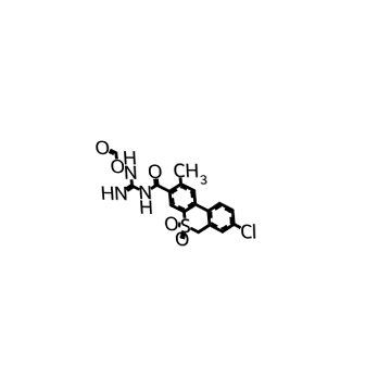 Cc1cc2c(cc1C(=O)NC(=N)NOC=O)S(=O)(=O)Cc1cc(Cl)ccc1-2